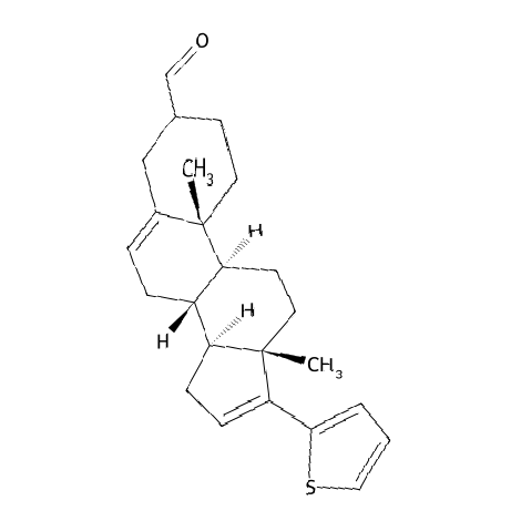 C[C@]12CCC(C=O)CC1=CC[C@@H]1[C@@H]2CC[C@]2(C)C(c3cccs3)=CC[C@@H]12